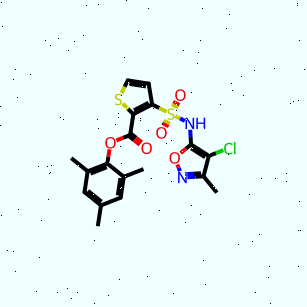 Cc1cc(C)c(OC(=O)c2sccc2S(=O)(=O)Nc2onc(C)c2Cl)c(C)c1